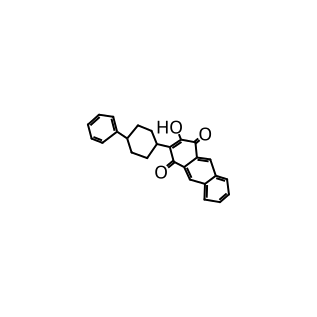 O=C1C(O)=C(C2CCC(c3ccccc3)CC2)C(=O)c2cc3ccccc3cc21